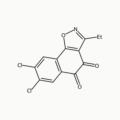 CCc1noc2c1C(=O)C(=O)c1cc(Cl)c(Cl)cc1-2